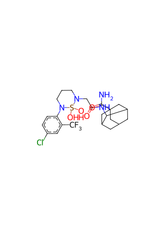 NC(=O)C12CC3CC(C1)C(NC(=O)CN1CCCN(c4ccc(Cl)cc4C(F)(F)F)S1(O)O)C(C3)C2